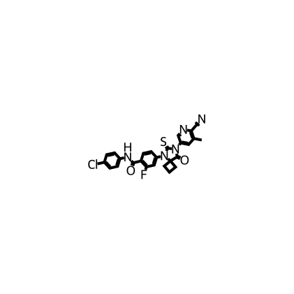 Cc1cc(N2C(=O)C3(CCC3)N(c3ccc(C(=O)Nc4ccc(Cl)cc4)c(F)c3)C2=S)cnc1C#N